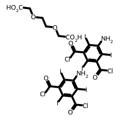 Nc1c(I)c(C(=O)Cl)c(I)c(C(=O)Cl)c1I.Nc1c(I)c(C(=O)Cl)c(I)c(C(=O)Cl)c1I.O=C(O)COCCOCC(=O)O